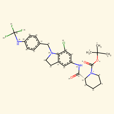 CC(C)(C)OC(=O)N1CCCC[C@@H]1C(=O)Nc1cc(Cl)c2c(c1)CCN2Cc1ccc(NC(F)(F)F)cc1